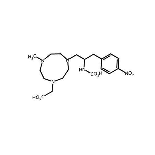 CN1CCN(CC(=O)O)CCN(CC(Cc2ccc([N+](=O)[O-])cc2)NC(=O)O)CC1